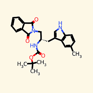 Cc1ccc2[nH]cc(C[C@@H](CN3C(=O)c4ccccc4C3=O)NC(=O)OC(C)(C)C)c2c1